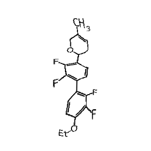 CCOc1ccc(-c2ccc(C3CC=C(C)CO3)c(F)c2F)c(F)c1F